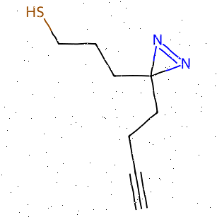 C#CCCC1(CCCS)N=N1